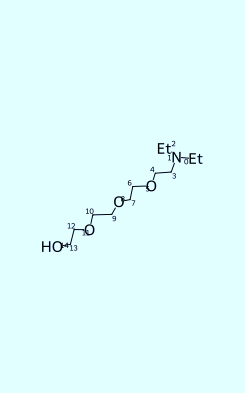 CCN(CC)CCOCCOCCOCCO